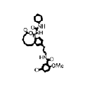 COc1ccc(Cl)cc1C(=O)NCCCc1ccc2c(c1)CCCCCC(=O)OB2NC(=O)NC1CCCCC1